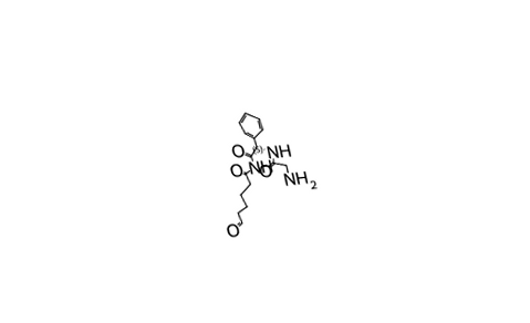 NCC(=O)N[C@H](C(=O)NC(=O)CCCCC=O)c1ccccc1